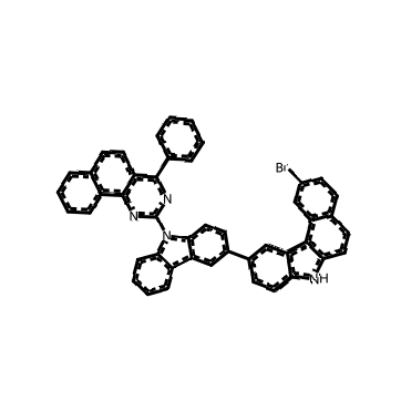 Brc1ccc2ccc3[nH]c4ccc(-c5ccc6c(c5)c5ccccc5n6-c5nc(-c6ccccc6)c6ccc7ccccc7c6n5)cc4c3c2c1